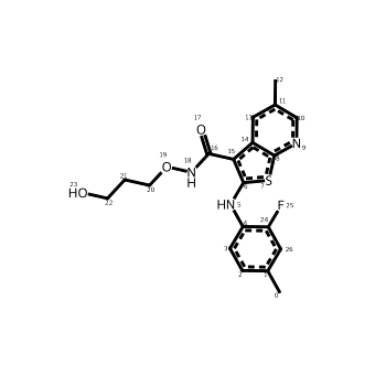 Cc1ccc(Nc2sc3ncc(C)cc3c2C(=O)NOCCCO)c(F)c1